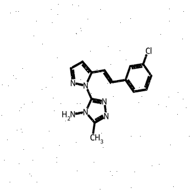 Cc1nnc(-n2nccc2/C=C/c2cccc(Cl)c2)n1N